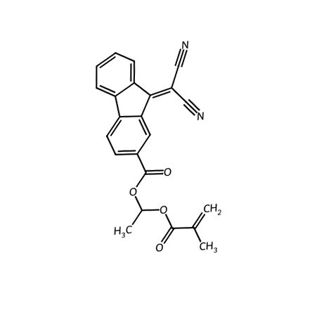 C=C(C)C(=O)OC(C)OC(=O)c1ccc2c(c1)C(=C(C#N)C#N)c1ccccc1-2